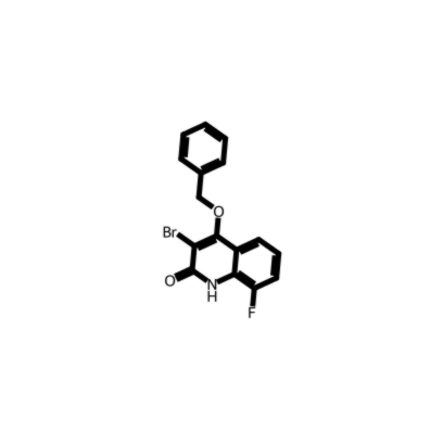 O=c1[nH]c2c(F)cccc2c(OCc2ccccc2)c1Br